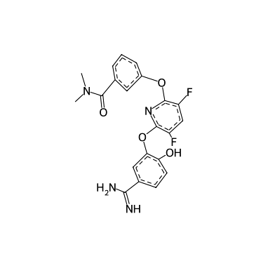 CN(C)C(=O)c1cccc(Oc2nc(Oc3cc(C(=N)N)ccc3O)c(F)cc2F)c1